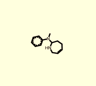 CN(c1ccccc1)C1CCC=CCN1